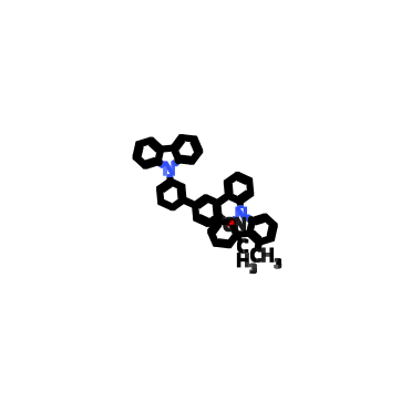 Cc1cccc2c1C1(C)C=CC=CC1N2c1ccccc1-c1cc(C2=CC(n3c4ccccc4c4ccccc43)=CCC2)ccc1C#N